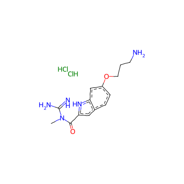 CN(C(=N)N)C(=O)c1cc2ccc(OCCCN)cc2[nH]1.Cl.Cl